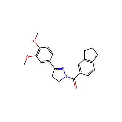 COc1ccc(C2=NN(C(=O)c3ccc4c(c3)CCC4)CC2)cc1OC